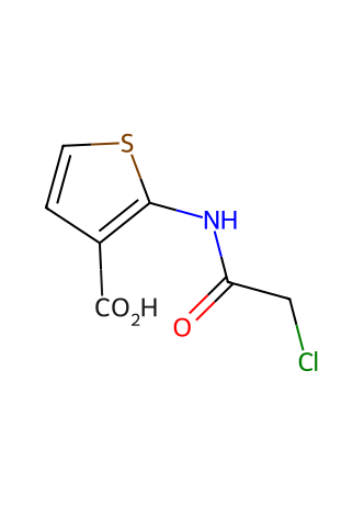 O=C(CCl)Nc1sccc1C(=O)O